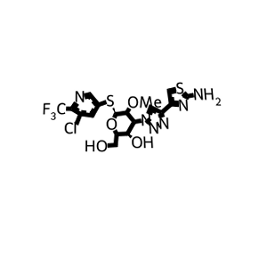 COC1C(n2cc(-c3csc(N)n3)nn2)[C@@H](O)C(CO)O[C@@H]1Sc1cnc(C(F)(F)F)c(Cl)c1